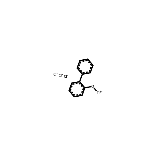 [Cl-].[Cl-].[Cl-].[Ti+3][O]c1ccccc1-c1ccccc1